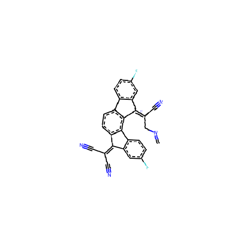 C=NC/C(C#N)=C1/c2cc(F)ccc2-c2ccc3c(c21)-c1ccc(F)cc1C3=C(C#N)C#N